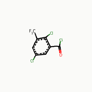 O=C(Cl)c1cc(Cl)cc(C(F)(F)F)c1Cl